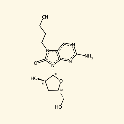 N#CCCCn1c(=O)n([C@@H]2O[C@H](CO)C[C@H]2O)c2nc(N)ncc21